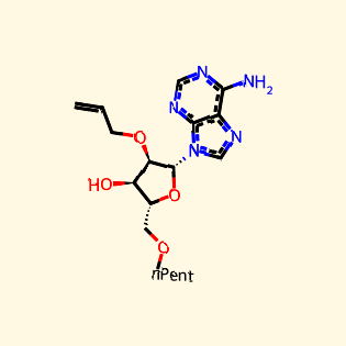 C=CCO[C@@H]1[C@H](O)[C@@H](COCCCCC)O[C@H]1n1cnc2c(N)ncnc21